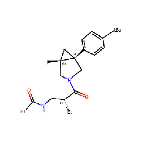 CCC(=O)NC[C@@H](CC)C(=O)N1C[C@@H]2C[C@]2(c2ccc(C(C)(C)C)cc2)C1